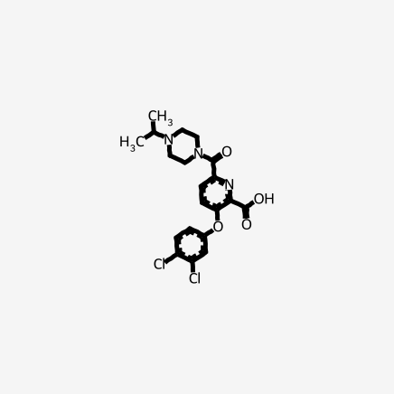 CC(C)N1CCN(C(=O)c2ccc(Oc3ccc(Cl)c(Cl)c3)c(C(=O)O)n2)CC1